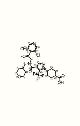 O=C(CN(CC1CCOCC1)C(=O)c1cnn(C2CCC(C(=O)O)CC2)c1C(F)(F)F)c1c(Cl)cncc1Cl